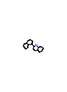 [c]1cc2ccccc2nc1-c1cccc2ccccc12